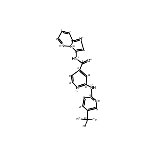 O=C(Nc1cnc2cccnn12)c1ccnc(Nc2ccc(C(F)(F)F)cn2)c1